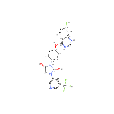 O=C1CN(c2cncc(C(F)(F)F)c2)C(=O)N1[C@H]1CC[C@H](Oc2ncnc3cc(F)ccc23)CC1